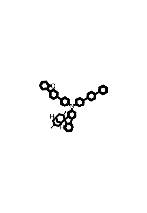 C[C@H]1C[C@@H]2C[C@H](C1)C1(c3ccccc3-c3ccc(N(c4ccc(-c5ccc(-c6ccccc6)cc5)cc4)c4ccc(-c5ccc6c(c5)oc5ccccc56)cc4)cc31)[C@H](C)C2